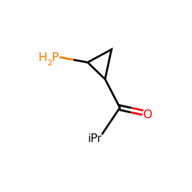 CC(C)C(=O)C1CC1P